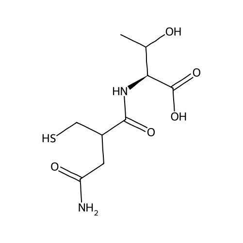 CC(O)[C@H](NC(=O)C(CS)CC(N)=O)C(=O)O